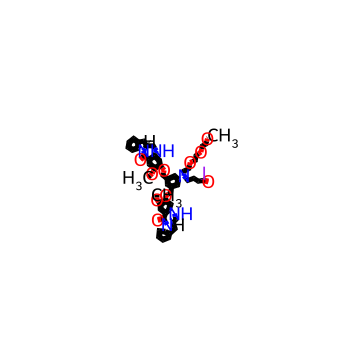 COCCOCCOCCN(CCCC(=O)I)c1cc(COc2cc3c(cc2OC)C(=O)N2c4ccccc4C[C@H]2CN3)cc(COc2cc3c(cc2OC)C(=O)N2c4ccccc4C[C@H]2CN3)c1